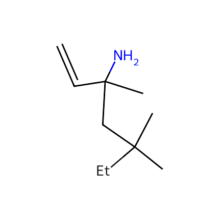 C=CC(C)(N)CC(C)(C)CC